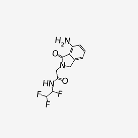 Nc1cccc2c1C(=O)N(CC(=O)NC(F)C(F)F)C2